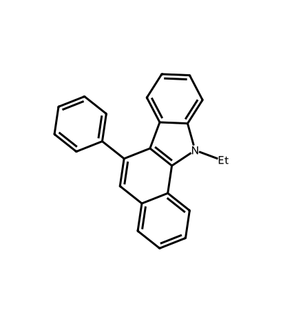 CCn1c2ccccc2c2c(-c3ccccc3)cc3ccccc3c21